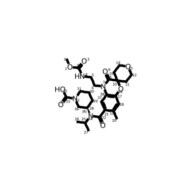 COC(=O)NCCN1C(=O)C2(CCOCC2)Oc2cc(C)c(C(=O)N(C(C)C)[C@@H]3CCCN(C(=O)O)C3)cc21